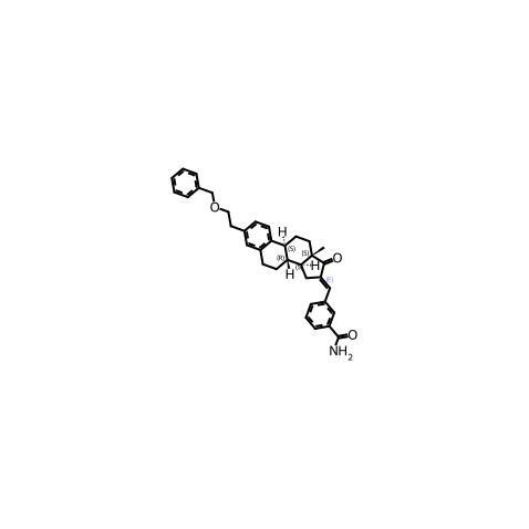 C[C@]12CC[C@@H]3c4ccc(CCOCc5ccccc5)cc4CC[C@H]3[C@@H]1C/C(=C\c1cccc(C(N)=O)c1)C2=O